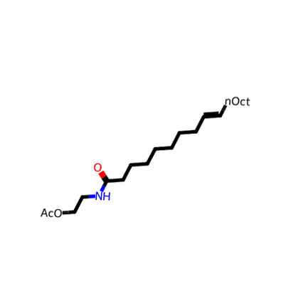 CCCCCCCCC=CCCCCCCCC(=O)NCCOC(C)=O